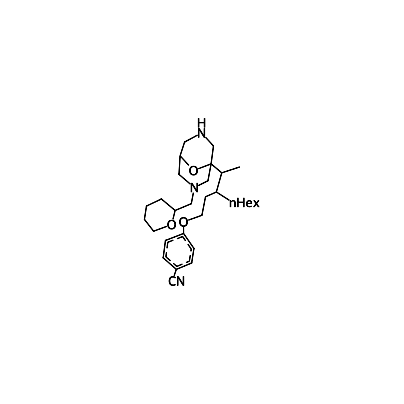 CCCCCCC(CCOc1ccc(C#N)cc1)C(C)C12CNCC(CN(CC3CCCCO3)C1)O2